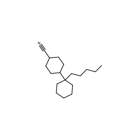 CCCCCC1(C2CCC(C#N)CC2)CCCCC1